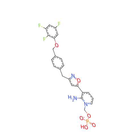 Nc1c(-c2cc(Cc3ccc(COc4cc(F)cc(F)c4F)cc3)no2)ccc[n+]1COP(=O)([O-])O